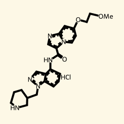 COCCOc1ccn2c(C(=O)Nc3cccc4c3cnn4CC3CCCNC3)cnc2c1.Cl